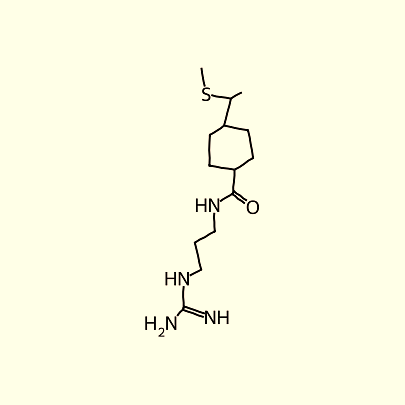 CSC(C)C1CCC(C(=O)NCCCNC(=N)N)CC1